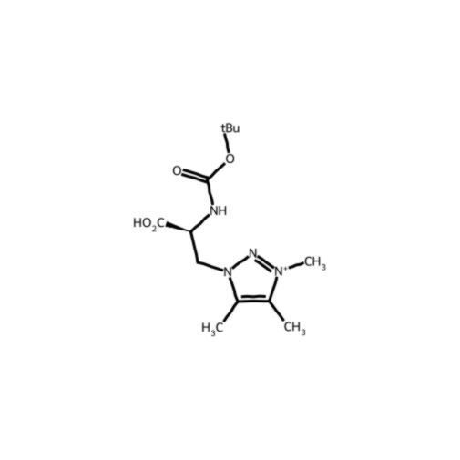 Cc1c(C)[n+](C)nn1C[C@H](NC(=O)OC(C)(C)C)C(=O)O